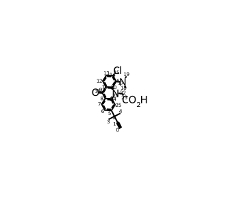 C#CC(C)(C)c1ccc2c(=O)c3ccc(Cl)c(N(C)C)c3n(CC(=O)O)c2c1